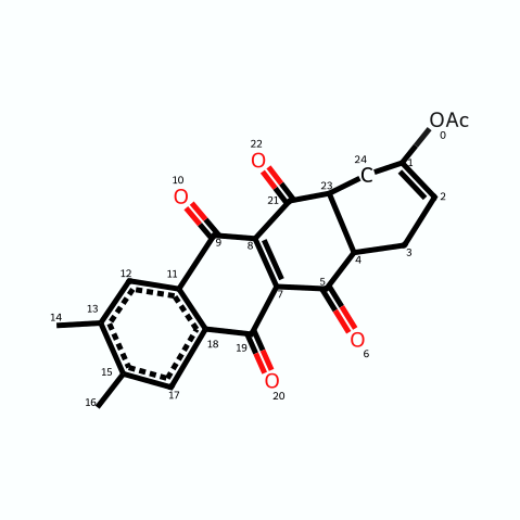 CC(=O)OC1=CCC2C(=O)C3=C(C(=O)c4cc(C)c(C)cc4C3=O)C(=O)C2C1